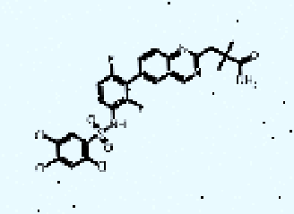 CC(C)(Cc1ncc2cc(-c3c(F)ccc(NS(=O)(=O)c4cc(Cl)c(Cl)cc4Cl)c3F)ccc2n1)C(N)=O